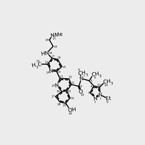 CCn1ncc(C(C)N(C)C(=O)c2cc(-c3ccc(NCCNC)c(C)n3)nc3ccc(O)cc23)c1C